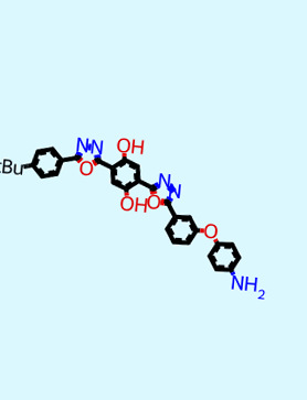 CC(C)(C)c1ccc(-c2nnc(-c3cc(O)c(-c4nnc(-c5cccc(Oc6ccc(N)cc6)c5)o4)cc3O)o2)cc1